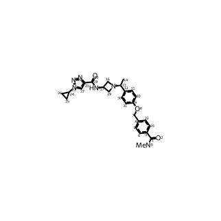 CNC(=O)c1ccc(COc2ccc(C(C)N3CC(NC(=O)c4cn(C5CC5)nn4)C3)cc2)cc1